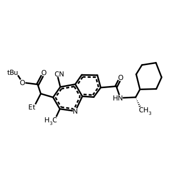 CCC(C(=O)OC(C)(C)C)c1c(C)nc2cc(C(=O)N[C@@H](C)C3CCCCC3)ccc2c1C#N